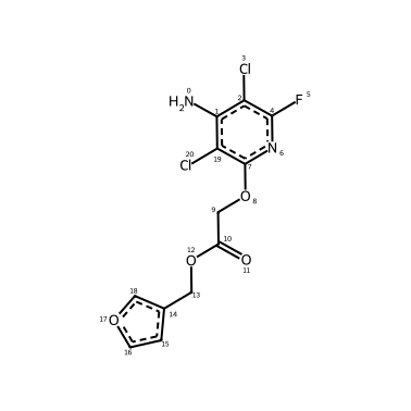 Nc1c(Cl)c(F)nc(OCC(=O)OCc2ccoc2)c1Cl